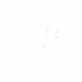 C=Nn1cccc(N2CCC(C=O)CC2)/c1=N/CC